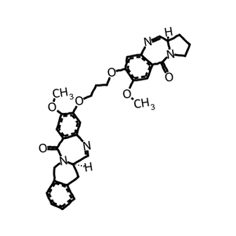 COc1cc2c(cc1OCCCOc1cc3c(cc1OC)C(=O)N1Cc4ccccc4C[C@@H]1C=N3)N=C[C@@H]1CCCN1C2=O